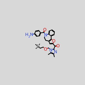 Cc1nc(C(=O)c2cc3c(o2)-c2ccccc2N(C(=O)c2ccc(N)cc2)CC3)n(COCC[Si](C)(C)C)c1C